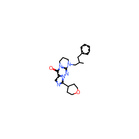 CC(Cc1ccccc1)CN1CCCn2c1nn1c(C3CCOCC3)ncc1c2=O